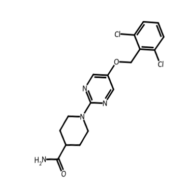 NC(=O)C1CCN(c2ncc(OCc3c(Cl)cccc3Cl)cn2)CC1